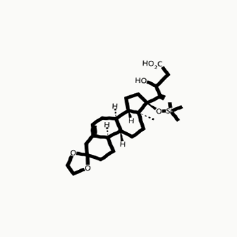 C=C(C(O)CC(=O)O)[C@@]1(O[Si](C)(C)C)CC[C@H]2[C@@H]3CC=C4CC5(CC[C@@H]4[C@H]3CC[C@@]21C)OCCO5